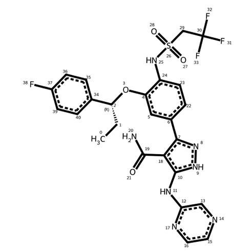 CC[C@@H](Oc1cc(-c2n[nH]c(Nc3cnccn3)c2C(N)=O)ccc1NS(=O)(=O)CC(F)(F)F)c1ccc(F)cc1